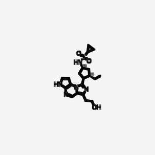 CC[C@@H]1C[C@H](NS(=O)(=O)C2CC2)CC1c1nc(CCO)c2cnc3[nH]ccc3n12